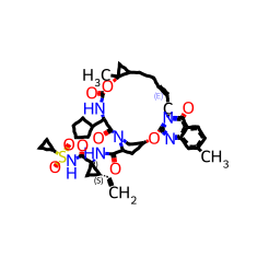 C=C[C@@H]1C[C@]1(NC(=O)C1CC2CN1C(=O)C(C1CCCC1)NC(=O)OC1(C)CC1CC/C=C/Cn1c(nc3cc(C)ccc3c1=O)O2)C(=O)NS(=O)(=O)C1CC1